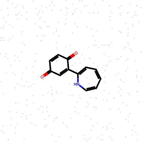 O=C1C=CC(=O)C(C2=CC=CC=CN2)=C1